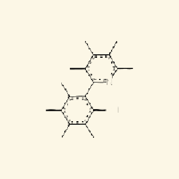 Cc1nc(-c2c(C)c(C)c(C)c(C)c2O)c(C)c(C)c1C